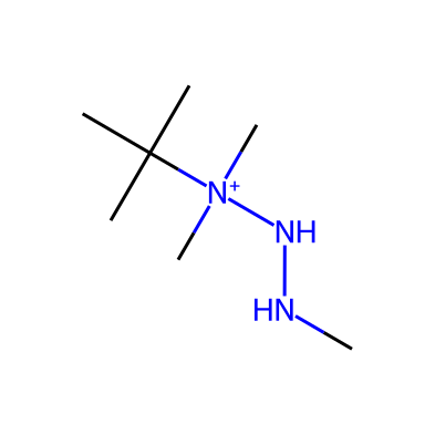 CNN[N+](C)(C)C(C)(C)C